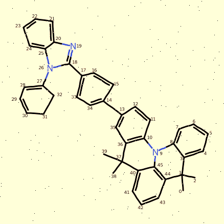 CC1(C)c2ccccc2N2c3ccc(-c4ccc(-c5nc6ccccc6n5C5=CC=CCC5)cc4)cc3C(C)(C)c3cccc1c32